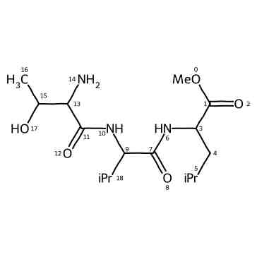 COC(=O)C(CC(C)C)NC(=O)C(NC(=O)C(N)C(C)O)C(C)C